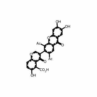 CC(=O)c1cc2c(=O)c3cc(O)c(O)cc3oc2c(C(C)=O)c1-c1coc2ccc(O)c(C(=O)O)c2c1=O